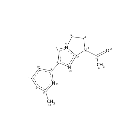 CC(=O)N1CCn2cc(-c3cccc(C)n3)nc21